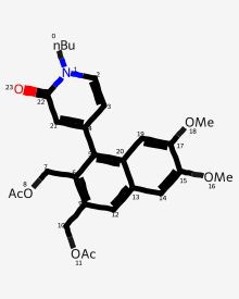 CCCCn1ccc(-c2c(COC(C)=O)c(COC(C)=O)cc3cc(OC)c(OC)cc23)cc1=O